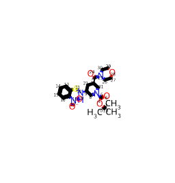 CC(C)(C)OC(=O)N1C[C@@H](NSc2ccccc2[N+](=O)[O-])C[C@@H](C(=O)N2CCOCC2)C1